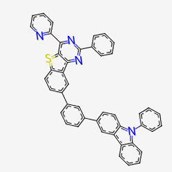 c1ccc(-c2nc(-c3ccccn3)c3sc4ccc(-c5cccc(-c6ccc7c(c6)c6ccccc6n7-c6ccccc6)c5)cc4c3n2)cc1